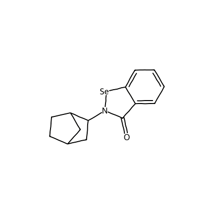 O=c1c2ccccc2[se]n1C1CC2CCC1C2